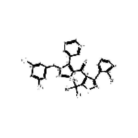 CC(C)(O)c1onc(-c2ccccc2Cl)c1C(=O)c1nnn(Cc2cc(C(F)(F)F)cc(C(F)(F)F)c2)c1-c1cccnc1